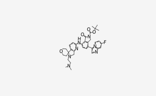 CN(C)CCN1Cc2nc(Nc3ccc(-c4cnc5cc(F)ccn45)c4c3C(=O)N(C(=O)OC(C)(C)C)C4)ccc2C12CCOCC2